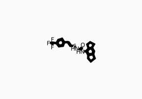 O=C(NS/C=C/c1ccc(C(F)(F)F)cc1)Nc1c2c(cc3c1CCC3)CCC2